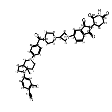 CC12CCN(c3ccc(C(=O)N4CCN(C5CN(c6ccc7c(c6)C(=O)N(C6CCC(=O)NC6=O)C7=O)C5)CC4)cc3)CC1CCN2c1ccc(C#N)c(Cl)c1